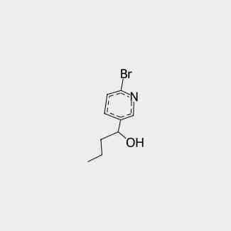 CCCC(O)c1ccc(Br)nc1